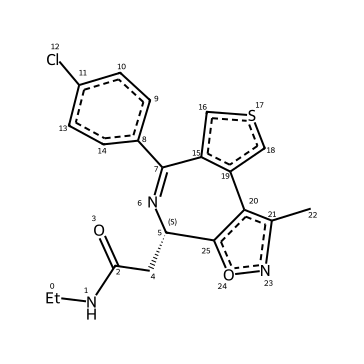 CCNC(=O)C[C@@H]1N=C(c2ccc(Cl)cc2)c2cscc2-c2c(C)noc21